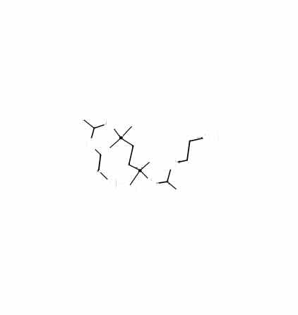 CC(OCCS)OC(C)(C)CCC(C)(C)OC(C)OCCS